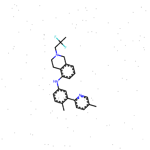 Cc1ccc(-c2cc(Nc3cccc4c3CCN(CC(C)(F)F)C4)ccc2C)nc1